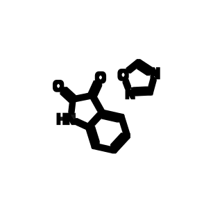 O=C1Nc2ccccc2C1=O.c1ncon1